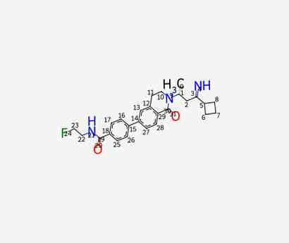 C[C@H](CC(=N)C1CCC1)N1CCc2cc(-c3ccc(C(=O)NCCF)cc3)ccc2C1=O